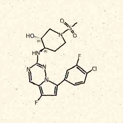 CS(=O)(=O)N1CC[C@@H](Nc2ncc3c(F)cc(-c4ccc(Cl)c(F)c4)n3n2)[C@H](O)C1